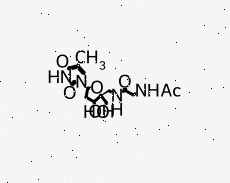 CC(=O)NCC(=O)NC[C@]1(CO)O[C@@H](n2cc(C)c(=O)[nH]c2=O)CC1O